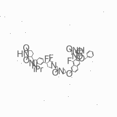 CC(C)n1nc(C2CCC(=O)NC2=O)c2ccc(C3CCN(CC(=O)N4CC(Oc5ccc6cc(OCc7ccccc7)c(N7CC(=O)NS7(=O)=O)c(F)c6c5)C4)CC3(F)F)cc21